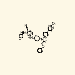 COc1ncc(-c2ccc(N(C(=O)COc3ccccc3)C3CCC(Nc4ncc(C#N)c(NC5COC5)n4)CC3)nc2)cn1